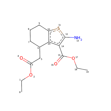 CCOC(=O)CC1CCCc2sc(N)c(C(=O)OCC)c21